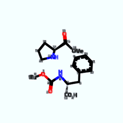 CC(C)(C)OC(=O)N[C@H](Cc1ccccc1)C(=O)O.COC(=O)[C@@H]1CCCN1